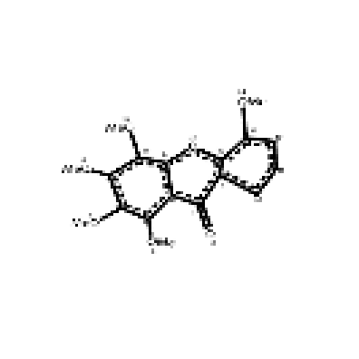 COc1c(OC)c(OC)c2c(=O)c3cccc(OC)c3oc2c1OC